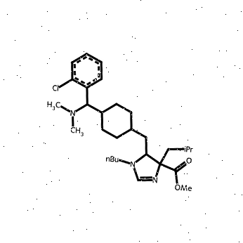 CCCCN1C=NC(CC(C)C)(C(=O)OC)C1CC1CCC(C(c2ccccc2Cl)N(C)C)CC1